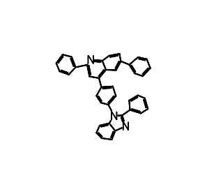 c1ccc(-c2ccc3nc(-c4ccccc4)cc(-c4ccc(-n5c(-c6ccccc6)nc6ccccc65)cc4)c3c2)cc1